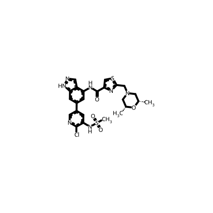 C[C@@H]1CN(Cc2nc(C(=O)Nc3cc(-c4cnc(Cl)c(NS(C)(=O)=O)c4)cc4[nH]ncc34)cs2)C[C@H](C)O1